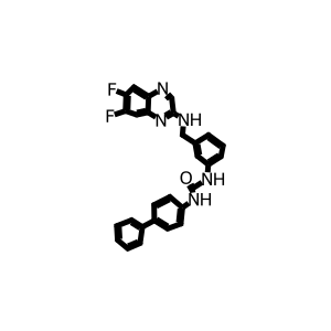 O=C(Nc1ccc(-c2ccccc2)cc1)Nc1cccc(CNc2cnc3cc(F)c(F)cc3n2)c1